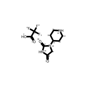 O=C(O)C(F)(F)F.O=C1CN(C2CCNCC2)C(=O)N1